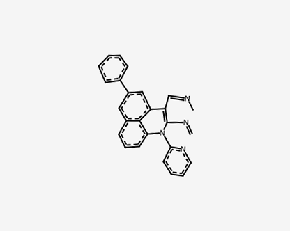 C=NC1=C(/C=N\C)c2cc(-c3ccccc3)cc3cccc(c23)N1c1ccccn1